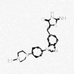 CCN1CCN(c2ccc(-n3cnc4ccc(/C=C5\SC(=N)NC5=O)cc43)cc2)CC1